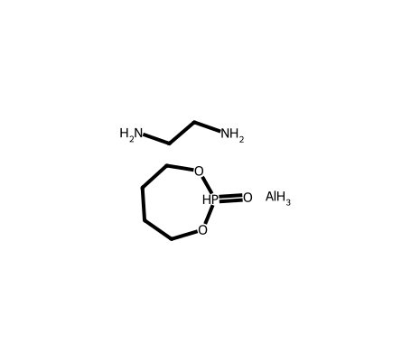 NCCN.O=[PH]1OCCCCO1.[AlH3]